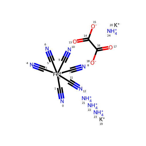 N#[C][Fe-4]([C]#N)([C]#N)([C]#N)([C]#N)[C]#N.O=C([O-])C(=O)[O-].[K+].[K+].[NH4+].[NH4+].[NH4+].[NH4+]